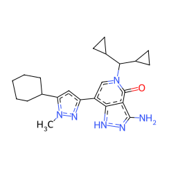 Cn1nc(-c2cn(C(C3CC3)C3CC3)c(=O)c3c(N)n[nH]c23)cc1C1CCCCC1